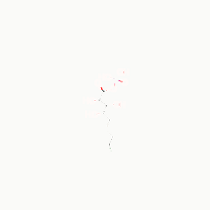 O=C(OP(=O)(O)O)[C@H](O)[C@H](O)[C@H](O)CSCCF